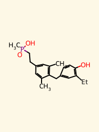 CCc1cc(Cc2c(C)cc(CCP(C)(=O)O)cc2C)ccc1O